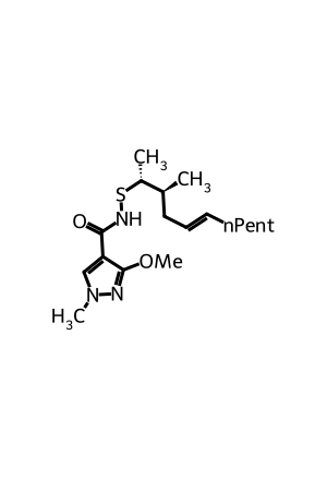 CCCCC/C=C/C[C@H](C)[C@@H](C)SNC(=O)c1cn(C)nc1OC